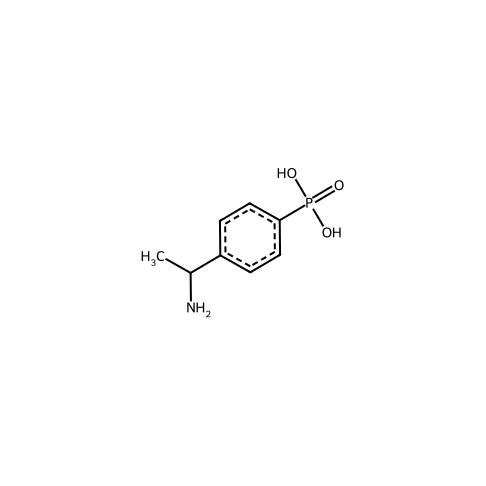 CC(N)c1ccc(P(=O)(O)O)cc1